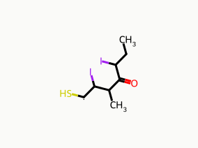 CCC(I)C(=O)C(C)C(I)[CH]S